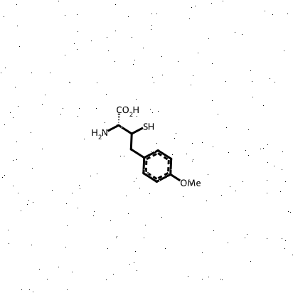 COc1ccc(CC(S)[C@H](N)C(=O)O)cc1